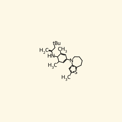 C=C(CC(C)(C)C)NC1C(C)=CC(N2CCCCc3sc(C)cc32)=CC1C